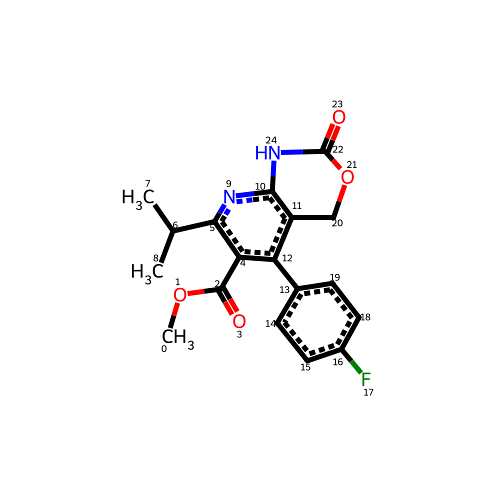 COC(=O)c1c(C(C)C)nc2c(c1-c1ccc(F)cc1)COC(=O)N2